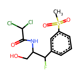 CS(=O)(=O)c1cccc(C(F)C(CO)NC(=O)C(Cl)Cl)c1